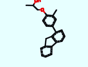 Cc1cc(-c2cccc3c2Cc2ccccc2-3)ccc1OCC(C)O